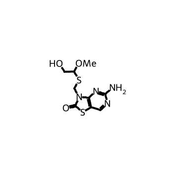 COC(CO)SCn1c(=O)sc2cnc(N)nc21